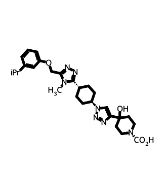 CC(C)c1cccc(OCc2nnc([C@H]3CC[C@H](n4cc(C5(O)CCN(C(=O)O)CC5)nn4)CC3)n2C)c1